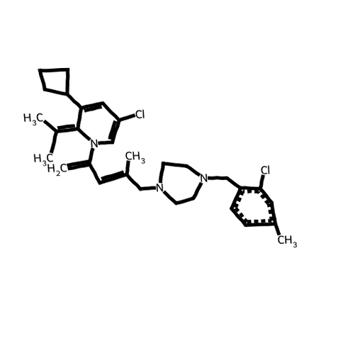 C=C(/C=C(\C)CN1CCN(Cc2ccc(C)cc2Cl)CC1)N1C=C(Cl)C=C(C2CCC2)C1=C(C)C